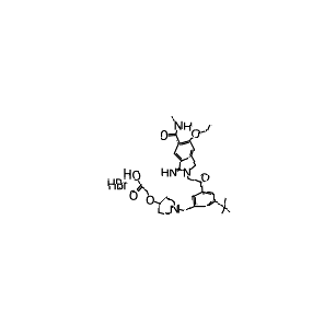 Br.CCOc1cc2c(cc1C(=O)NC)C(=N)N(CC(=O)c1cc(CN3CCC(OCC(=O)O)CC3)cc(C(C)(C)C)c1)C2